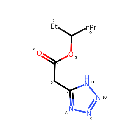 CCCC(CC)OC(=O)Cc1nnn[nH]1